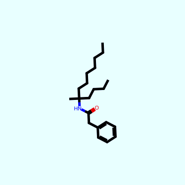 CCCCCCCC(C)(CCCC)NC(=O)Cc1ccccc1